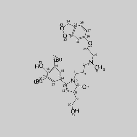 CN(CCCN1C(=O)C(CCO)SC1c1cc(C(C)(C)C)c(O)c(C(C)(C)C)c1)CCOc1ccc2c(c1)OOC2